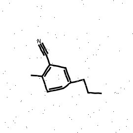 CCCc1ccc(C)c(C#N)c1